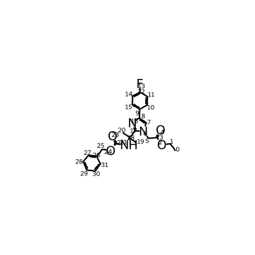 CCOC(=O)Cn1cc(-c2ccc(F)cc2)nc1C(C)(C)NC(=O)OCc1ccccc1